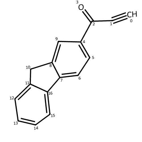 C#CC(=O)c1ccc2c(c1)Cc1ccccc1-2